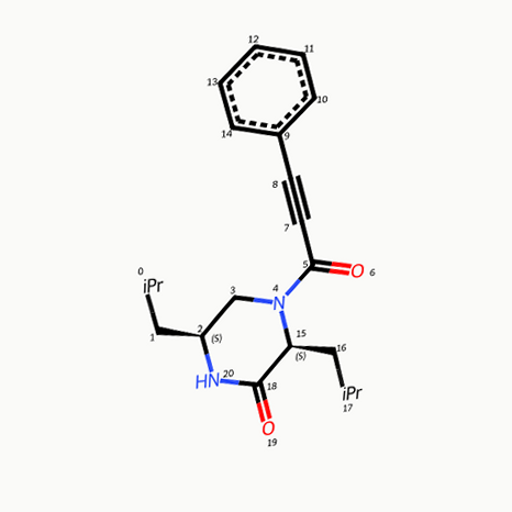 CC(C)C[C@H]1CN(C(=O)C#Cc2ccccc2)[C@@H](CC(C)C)C(=O)N1